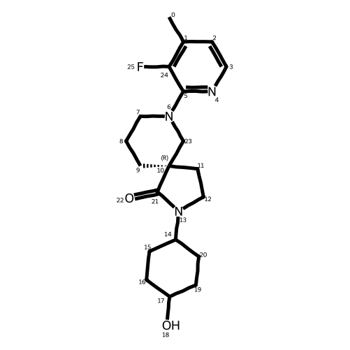 Cc1ccnc(N2CCC[C@@]3(CCN(C4CCC(O)CC4)C3=O)C2)c1F